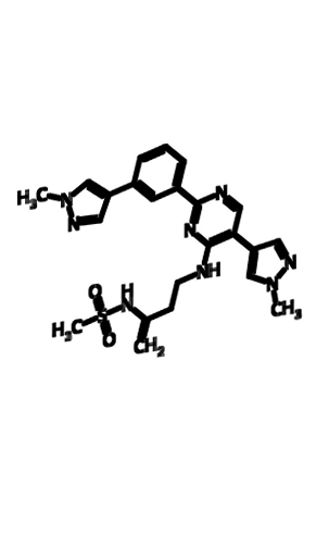 C=C(CCNc1nc(-c2cccc(-c3cnn(C)c3)c2)ncc1-c1cnn(C)c1)NS(C)(=O)=O